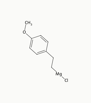 COc1ccc(C[CH2][Mg][Cl])cc1